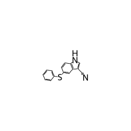 N#Cc1c[nH]c2ccc(Sc3ccccc3)cc12